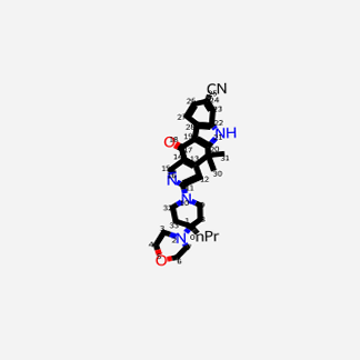 CCCC1(N2CCOCC2)CCN(c2cc3c(cn2)C(=O)c2c([nH]c4cc(C#N)ccc24)C3(C)C)CC1